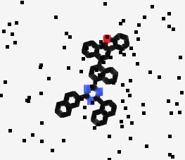 c1ccc2cc(-c3nc(-c4cccc5ccccc45)nc(-c4ccc(-c5cc6c7ccccc7oc6c6ccccc56)c5ccccc45)n3)ccc2c1